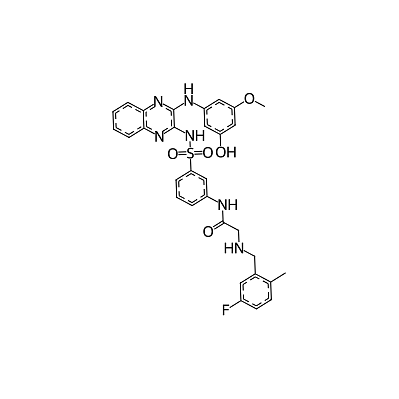 COc1cc(O)cc(Nc2nc3ccccc3nc2NS(=O)(=O)c2cccc(NC(=O)CNCc3cc(F)ccc3C)c2)c1